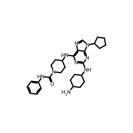 NC1CCC(Nc2nc(NC3CCN(C(=O)Nc4ccccc4)CC3)c3ncn(C4CCCC4)c3n2)CC1